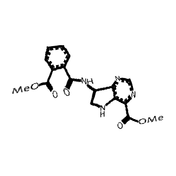 COC(=O)c1ccccc1C(=O)NC1CNc2c(C(=O)OC)ncnc21